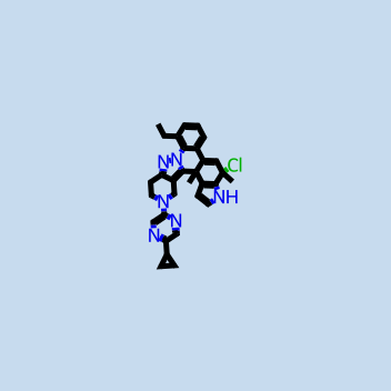 CCc1cccc2c1-n1nc3c(c1C1(C)C2=CC(C)(Cl)c2[nH]ccc21)CN(c1cnc(C2CC2)cn1)CC3